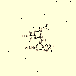 [2H]C([2H])([2H])Oc1cnc(NC(C)=O)cc1Nc1cc(OC2CC2)nc(C(C)(F)F)n1